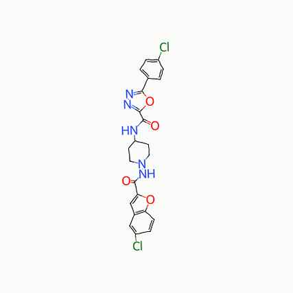 O=C(NN1CCC(NC(=O)c2nnc(-c3ccc(Cl)cc3)o2)CC1)c1cc2cc(Cl)ccc2o1